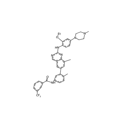 CCOc1cc(N2CCN(C)CC2)ccc1Nc1ncc2cc(-c3cc(NC(=O)c4cccc(C(F)(F)F)c4)ccc3C)cc(C)c2n1